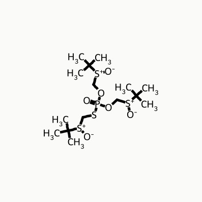 CC(C)(C)[S+]([O-])COP(=O)(OC[S+]([O-])C(C)(C)C)SC[S+]([O-])C(C)(C)C